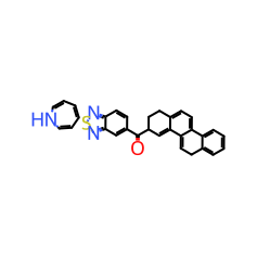 C1=CC=CNC=C1.O=C(c1ccc2nsnc2c1)C1C=c2c(ccc3c2=CCc2ccccc2-3)CC1